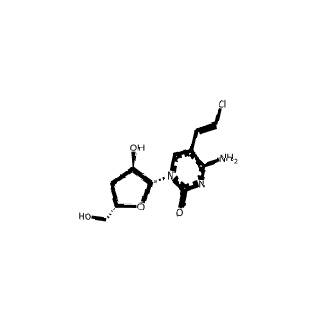 Nc1nc(=O)n([C@@H]2O[C@H](CO)C[C@H]2O)cc1C=CCl